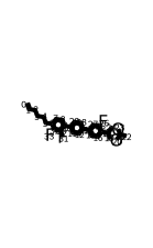 C=CCCCCc1ccc(-c2ccc(-c3ccc(C4COC(C)OC4)c(F)c3)cc2)c(F)c1F